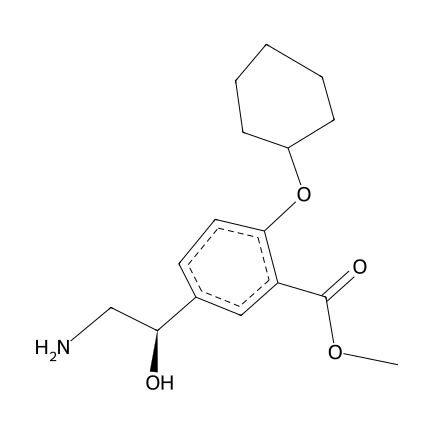 COC(=O)c1cc([C@@H](O)CN)ccc1OC1CCCCC1